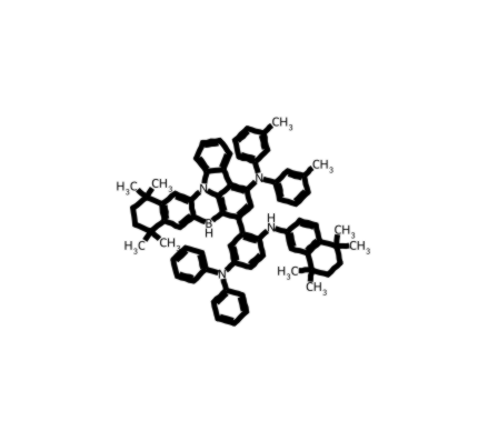 Cc1cccc(N(c2cccc(C)c2)c2cc(-c3cc(N(c4ccccc4)c4ccccc4)ccc3Nc3ccc4c(c3)C(C)(C)CCC4(C)C)c3c4c2c2ccccc2n4-c2cc4c(cc2B3)C(C)(C)CCC4(C)C)c1